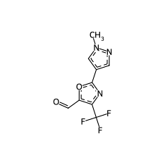 Cn1cc(-c2nc(C(F)(F)F)c(C=O)o2)cn1